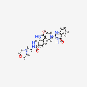 O=C(NCCN1CCOCC1)c1ccc2c(c1)NC(=O)C21CCN(c2nc3c(c(=O)[nH]2)CCCC3)CC1